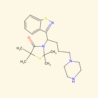 CC1(C)SC(C)(C)N(C(CCCN2CCNCC2)c2nsc3ccccc23)C1=O